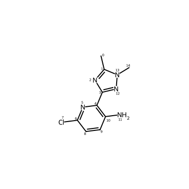 Cc1nc(-c2nc(Cl)ccc2N)nn1C